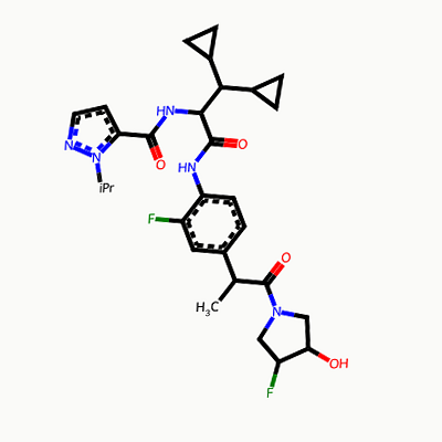 CC(C(=O)N1CC(O)C(F)C1)c1ccc(NC(=O)C(NC(=O)c2ccnn2C(C)C)C(C2CC2)C2CC2)c(F)c1